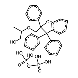 CC(CO)OCC(O)(c1ccccc1)C(c1ccccc1)(c1ccccc1)c1ccccc1.O=P(O)(O)OP(=O)(O)O